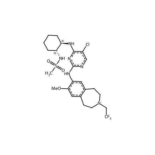 COc1cc2c(cc1Nc1ncc(Cl)c(N[C@@H]3CCCC[C@H]3NS(C)(=O)=O)n1)CCN(CC(F)(F)F)CC2